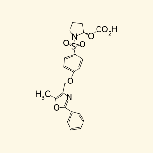 Cc1oc(-c2ccccc2)nc1COc1ccc(S(=O)(=O)N2CCC[C@H]2OC(=O)O)cc1